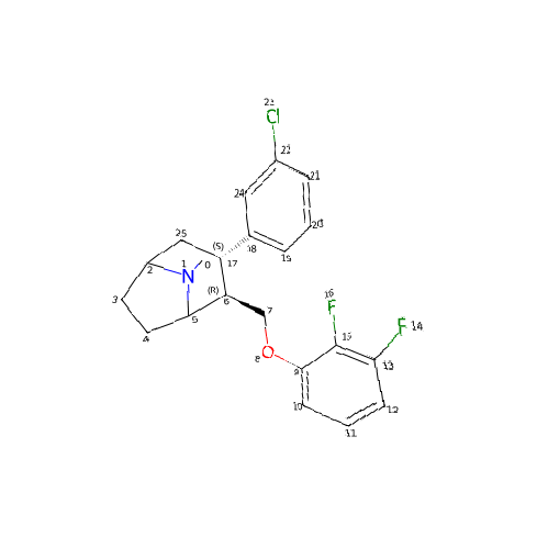 CN1C2CCC1[C@H](COc1cccc(F)c1F)[C@@H](c1cccc(Cl)c1)C2